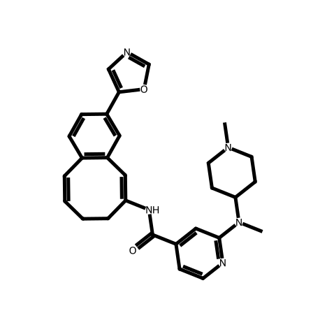 CN1CCC(N(C)c2cc(C(=O)N/C3=C/c4cc(-c5cnco5)ccc4/C=C\CC3)ccn2)CC1